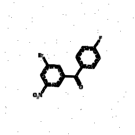 O=C(c1ccc(F)cc1)c1cc(Br)cc([N+](=O)[O-])c1